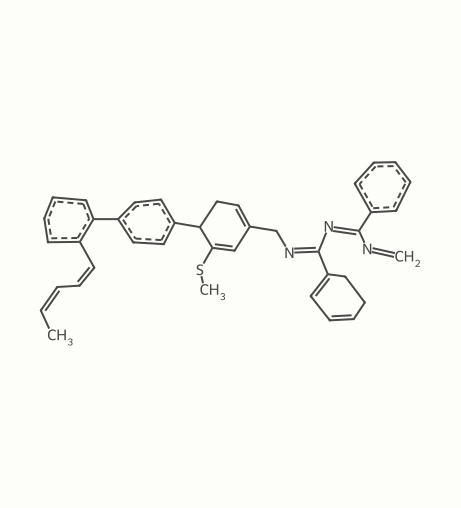 C=N/C(=N\C(=N/CC1=CCC(c2ccc(-c3ccccc3/C=C\C=C/C)cc2)C(SC)=C1)C1=CC=CCC1)c1ccccc1